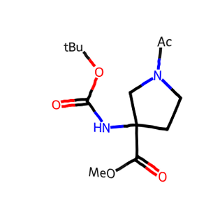 COC(=O)C1(NC(=O)OC(C)(C)C)CCN(C(C)=O)C1